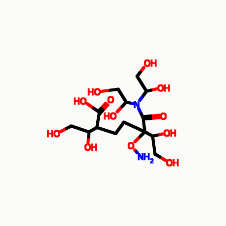 NOC(CCC(C(=O)O)C(O)CO)(C(=O)N(C(O)CO)C(O)CO)C(O)CO